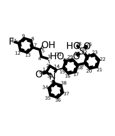 O=C1[C@H](CC[C@H](O)c2ccc(F)cc2)[C@@H](c2ccc(-c3ccccc3S(=O)(=O)O)cc2O)N1c1ccccc1